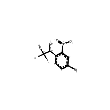 O=[N+]([O-])c1cc(Br)ccc1C(O)C(F)(F)F